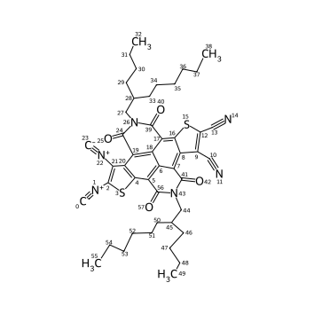 [C-]#[N+]c1sc2c3c4c(c5c(C#N)c(C#N)sc5c5c4c(c2c1[N+]#[C-])C(=O)N(CC(CCCC)CCCCCC)C5=O)C(=O)N(CC(CCCC)CCCCCC)C3=O